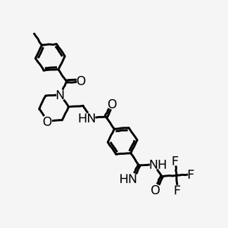 Cc1ccc(C(=O)N2CCOCC2CNC(=O)c2ccc(C(=N)NC(=O)C(F)(F)F)cc2)cc1